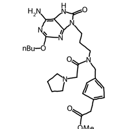 CCCCOc1nc(N)c2[nH]c(=O)n(CCCN(Cc3ccc(CC(=O)OC)cc3)C(=O)CN3CCCC3)c2n1